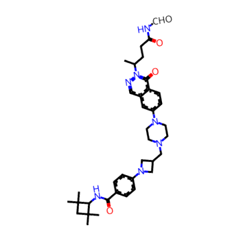 CC(CCC(=O)NC=O)n1ncc2cc(N3CCN(CC4CN(c5ccc(C(=O)NC6C(C)(C)CC6(C)C)cc5)C4)CC3)ccc2c1=O